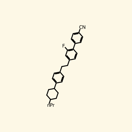 CCCC1CCC(c2ccc(CCc3ccc(-c4ccc(C#N)cc4)c(F)c3)cc2)CC1